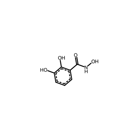 O=C(NO)c1cccc(O)c1O